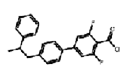 CC(Cc1ccc(-c2cc(F)c(C(=O)Cl)c(F)c2)cc1)c1ccccc1